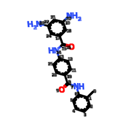 Cc1ccccc1NC(=O)c1ccc(NC(=O)c2cc(N)cc(N)c2)cc1